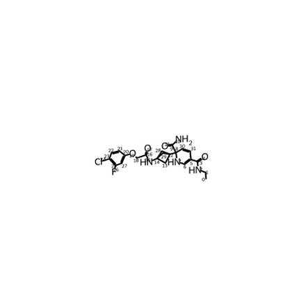 CCNC(=O)C1=CNC(C(N)=O)(C23CC(NC(=O)COc4ccc(Cl)c(F)c4)(C2)C3)C=C1